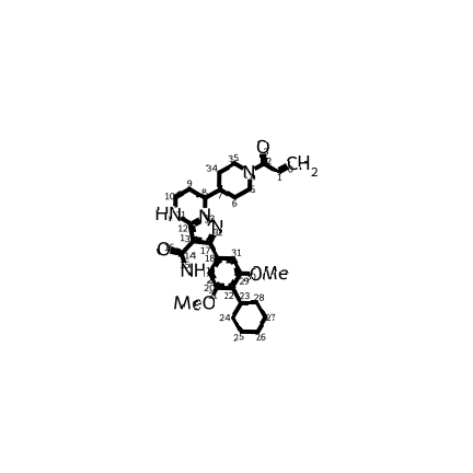 C=CC(=O)N1CCC(C2CCNc3c(C(N)=O)c(-c4cc(OC)c(C5CCCCC5)c(OC)c4)nn32)CC1